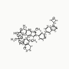 Cc1nc2c(cc(-c3ccnc(-c4ccc5c(cnn5C5COC5)c4)c3)n2C)c(-c2cc(F)c3c(c2C)CCCO3)c1[C@H](OC(C)(C)C)C(=O)O